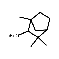 CC(C)COC1C2(C)CCC(C2)C1(C)C